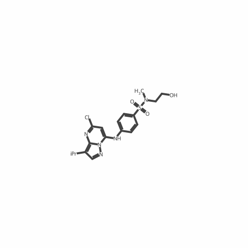 CC(C)c1cnn2c(Nc3ccc(S(=O)(=O)N(C)CCO)cc3)cc(Cl)nc12